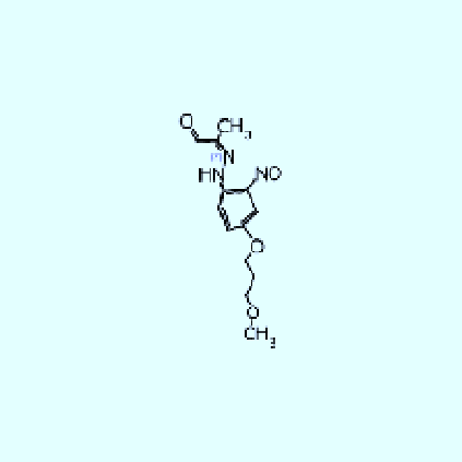 COCCCOc1ccc(N/N=C(/C)C=O)c(N=O)c1